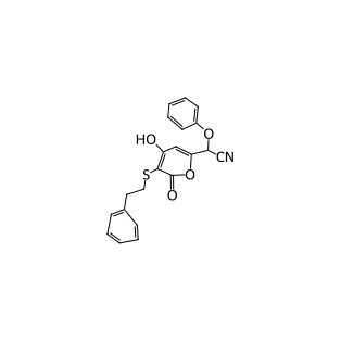 N#CC(Oc1ccccc1)c1cc(O)c(SCCc2ccccc2)c(=O)o1